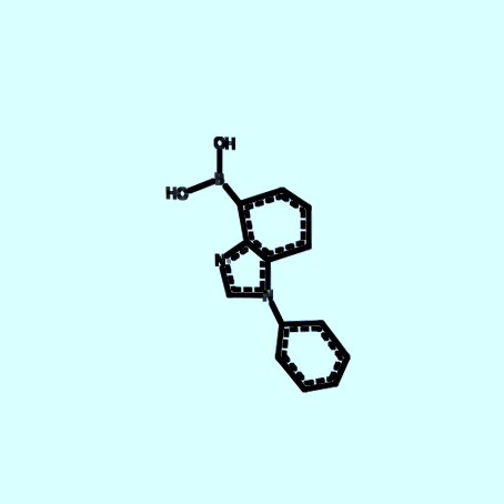 OB(O)c1cccc2c1ncn2-c1ccccc1